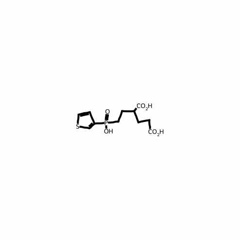 O=C(O)CCC(CCP(=O)(O)c1ccsc1)C(=O)O